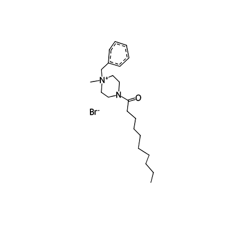 CCCCCCCCCC(=O)N1CC[N+](C)(Cc2ccccc2)CC1.[Br-]